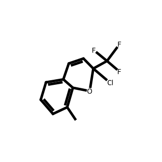 Cc1cccc2c1OC(Cl)(C(F)(F)F)C=C2